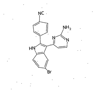 [C-]#[N+]c1ccc(-c2[nH]c3ccc(Br)cc3c2-c2ccnc(N)n2)cc1